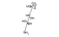 CC(O)N(O)CCCCCNC(O)CC[C@@H](O)N(O)CCCCCN